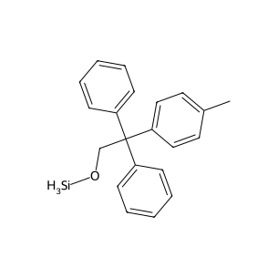 Cc1ccc(C(CO[SiH3])(c2ccccc2)c2ccccc2)cc1